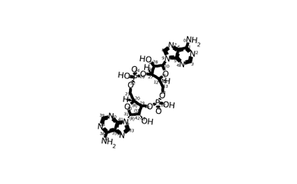 Nc1ncnc2c1ncn2C1O[C@H]2COP(=O)(O)OC3[C@@H](COP(=O)(O)O[C@@H]2C1O)O[C@@H](n1cnc2c(N)ncnc21)[C@H]3O